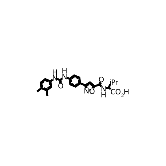 Cc1ccc(NC(=O)Nc2ccc(-c3cc(C(=O)NC(C(=O)O)C(C)C)on3)cc2)cc1C